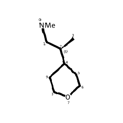 CNC[C@@H](C)C1CCOCC1